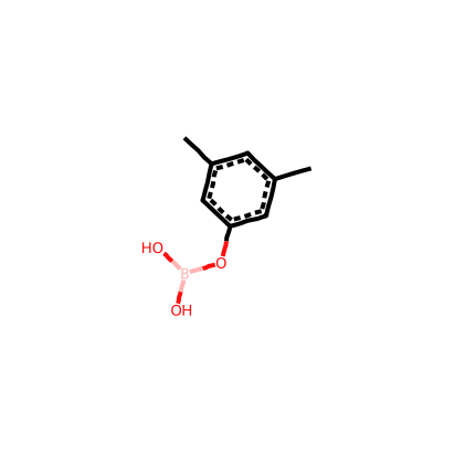 Cc1cc(C)cc(OB(O)O)c1